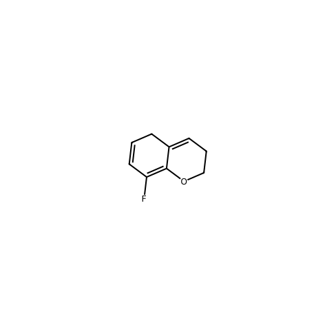 FC1=C2OCCC=C2CC=C1